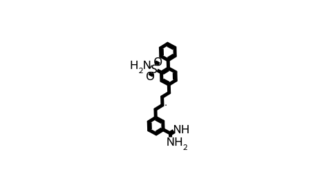 N=C(N)c1cccc(C[CH]CCc2ccc(-c3ccccc3)c(S(N)(=O)=O)c2)c1